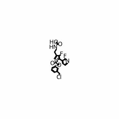 O=C(O)NCCc1cn(S(=O)(=O)c2cccc(CCl)c2)c(-c2cccnc2F)c1F